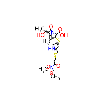 COCN(OC)C(=O)CCSC[C@@H]1C[C@H](SC2=C(C(=O)O)N3C(=O)[C@H]([C@@H](C)O)[C@H]3[C@H]2C)CN1